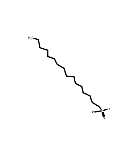 CCCCCCCCCCCCCCCCP(=S)(Cl)Cl